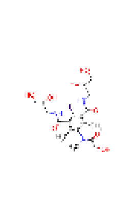 Cc1c(C(=O)NCC(O)CO)c(I)c(C(=O)NCC(O)CO)c(C)c1N(C)C(=O)CO